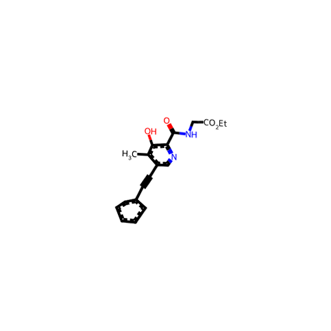 CCOC(=O)CNC(=O)c1ncc(C#Cc2ccccc2)c(C)c1O